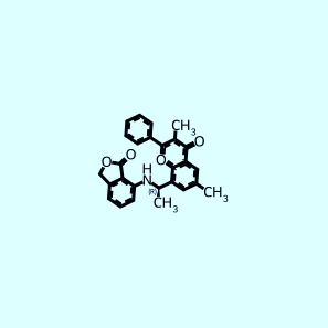 Cc1cc([C@@H](C)Nc2cccc3c2C(=O)OC3)c2oc(-c3ccccc3)c(C)c(=O)c2c1